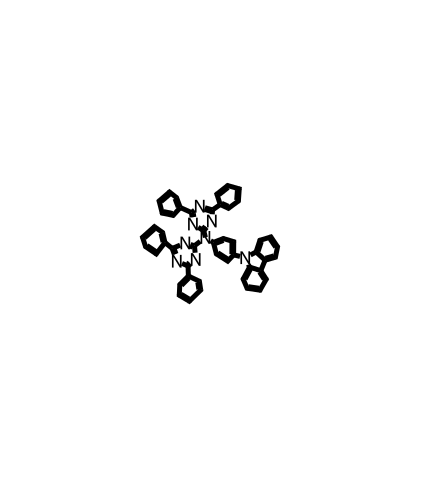 c1ccc(-c2nc(-c3ccccc3)nc(N(c3ccc(-n4c5ccccc5c5ccccc54)cc3)c3nc(-c4ccccc4)nc(-c4ccccc4)n3)n2)cc1